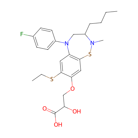 CCCCC1CN(c2ccc(F)cc2)c2cc(SCC)c(OCC(O)C(=O)O)cc2SN1C